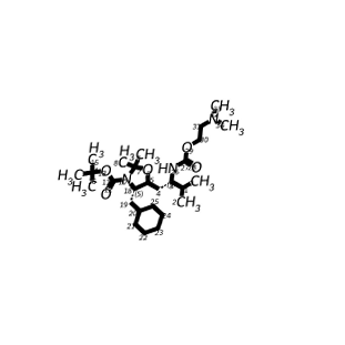 CC(C)[C@H](CC1OC(C)(C)N(C(=O)OC(C)(C)C)[C@H]1CC1CCCCC1)NC(=O)OCCN(C)C